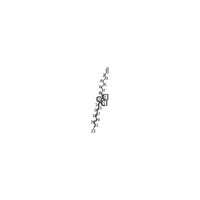 CCCCCCCCCC(Cl)OC(Cl)CCCCCCCCC